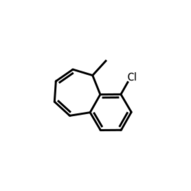 CC1C=CC=Cc2cccc(Cl)c21